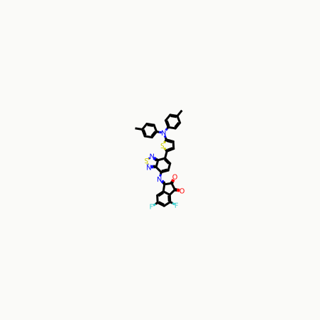 Cc1ccc(N(c2ccc(C)cc2)c2ccc(-c3ccc(/N=c4\c(=O)c(=O)c5c(F)cc(F)cc45)c4nsnc34)s2)cc1